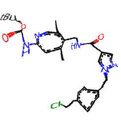 Cc1cc(NC(=O)OC(C)(C)C)nc(C)c1CNC(=O)c1cnn(Cc2ccc(CCl)cc2)c1